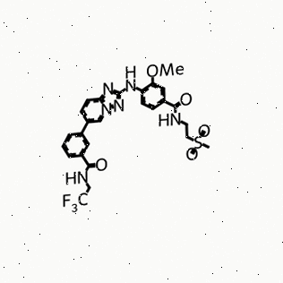 COc1cc(C(=O)NCCS(C)(=O)=O)ccc1Nc1nc2ccc(-c3cccc(C(=O)NCC(F)(F)F)c3)cn2n1